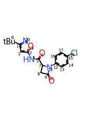 CC(C)(C)c1cc(NC(=O)C2CC(=O)N2c2ccc(Cl)cc2)on1